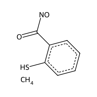 C.O=NC(=O)c1ccccc1S